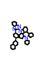 c1ccc(-n2c3ccccc3c3cccc4c3c3c2cccc3n4-c2nc3ccccc3nc2-c2ccc(-c3ccc4ccccc4c3)cc2)cc1